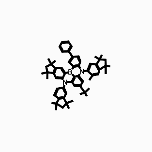 Cc1cc2c(cc1N1c3ccc(-c4ccccc4)cc3B3c4cc5c(cc4N(c4ccc6c(c4)C(C)(C)CC6(C)C)c4cc(C(C)(C)C)cc1c43)C(C)(C)CC5(C)C)C(C)(C)CC2(C)C